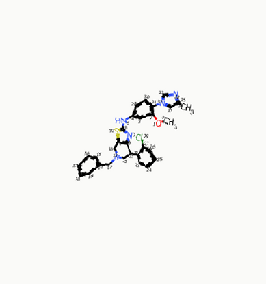 COc1cc(Nc2nc3c(s2)CN(Cc2ccccc2)CC3c2ccccc2Cl)ccc1-n1cnc(C)c1